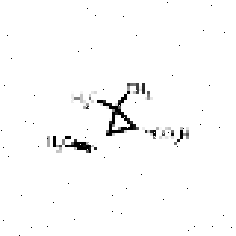 C=C[C@H]1[C@@H](C(=O)O)C1(C)C